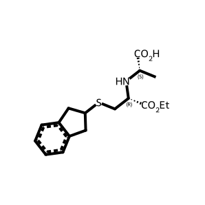 CCOC(=O)[C@H](CSC1Cc2ccccc2C1)N[C@@H](C)C(=O)O